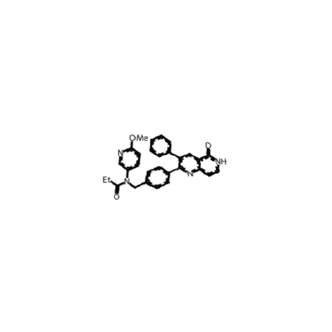 CCC(=O)N(Cc1ccc(-c2nc3cc[nH]c(=O)c3cc2-c2ccccc2)cc1)c1ccc(OC)nc1